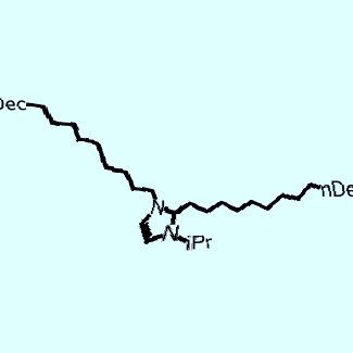 CCCCCCCCCCCCCCCCCCCC1N(CCCCCCCCCCCCCCCCCCC)C=CN1C(C)C